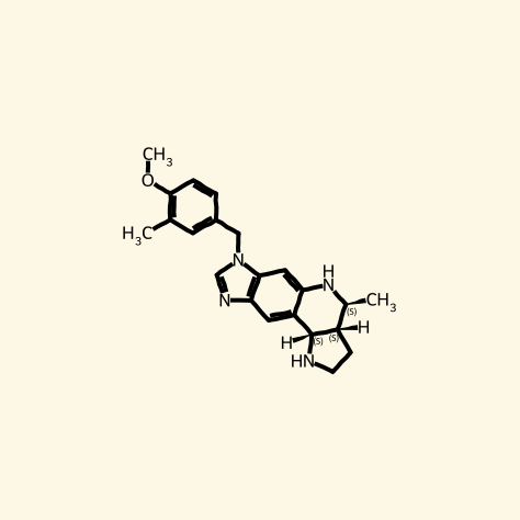 COc1ccc(Cn2cnc3cc4c(cc32)N[C@@H](C)[C@@H]2CCN[C@H]42)cc1C